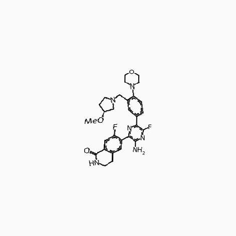 CO[C@H]1CCN(Cc2cc(-c3nc(-c4cc5c(cc4F)C(=O)NCC5)c(N)nc3F)ccc2N2CCOCC2)C1